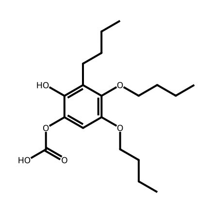 CCCCOc1cc(OC(=O)O)c(O)c(CCCC)c1OCCCC